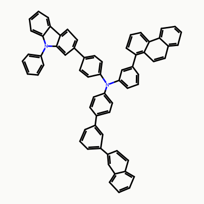 c1ccc(-n2c3ccccc3c3ccc(-c4ccc(N(c5ccc(-c6cccc(-c7ccc8ccccc8c7)c6)cc5)c5cccc(-c6cccc7c6ccc6ccccc67)c5)cc4)cc32)cc1